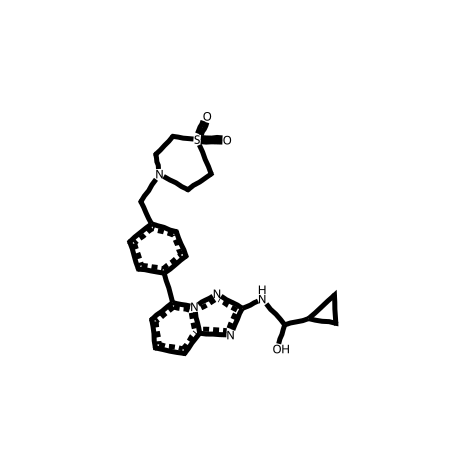 O=S1(=O)CCN(Cc2ccc(-c3cccc4nc(NC(O)C5CC5)nn34)cc2)CC1